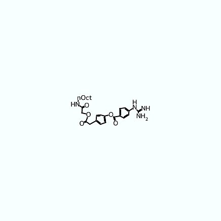 CCCCCCCCNC(=O)COC(=O)Cc1ccc(OC(=O)c2ccc(NC(=N)N)cc2)cc1